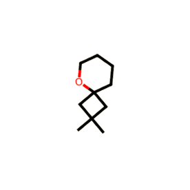 CC1(C)CC2(CCCCO2)C1